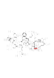 CSCC[C@H](NC(=O)[C@H](CO)NC(=O)[C@@H](C)CCCNC(=N)N)C(=O)N[C@H](C(=O)N[C@@H](CC(=O)O)C(=O)N[C@@H](CCCCN)C(=O)N[C@@H](Cc1ccc(O)cc1)C(=O)N[C@@H](CCCNC(=N)N)C(=O)N[C@@H](CC(C)C)C(=O)N[C@@H](Cc1cnc[nH]1)C(=O)N[C@@H](CC(C)C)C(N)=O)[C@@H](C)O